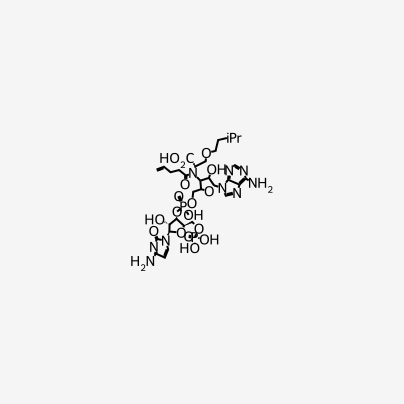 C=CCCC(=O)N(C1C(COP(=O)(O)O[C@H]2[C@@H](O)[C@H](n3ccc(N)nc3=O)O[C@@H]2COP(=O)(O)O)OC(n2cnc3c(N)ncnc32)C1O)[C@H](COCCC(C)C)C(=O)O